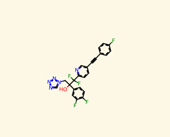 OC(Cn1cnnn1)(c1ccc(F)c(F)c1)C(F)(F)c1ccc(C#Cc2ccc(F)cc2)cn1